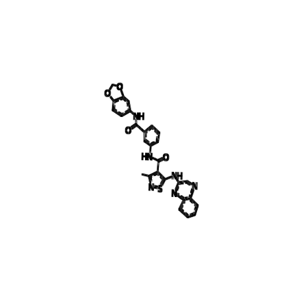 Cc1nsc(Nc2cnc3ccccc3n2)c1C(=O)Nc1cccc(C(=O)Nc2ccc3c(c2)OCO3)c1